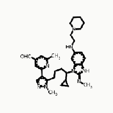 C/N=c1\[nH]c2ccc(NCCN3CCCCC3)cc2n1C(CCCc1c(-c2cc(C=O)cc(C)n2)cnn1C)C1CC1